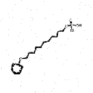 O=P(O)(O)OCCCCCCCCCCCOc1ccccc1